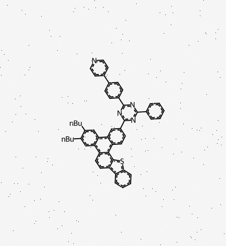 CCCCc1cc2c3cc(-c4nc(-c5ccccc5)nc(-c5ccc(-c6ccncc6)cc5)n4)ccc3c3c(ccc4c5ccccc5sc43)c2cc1CCCC